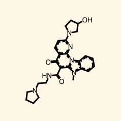 Cn1c2ccccc2n2c3nc(N4CCC(O)C4)ccc3c(=O)c(C(=O)NCCN3CCCC3)c12